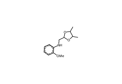 COc1ccccc1NCC1OC(C)C(C)O1